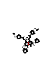 CCOc1ccc(C(C)CC(OC(CC(C)c2ccc(OCC)cc2)c2ccc(C)c(Oc3ccccc3)c2)c2ccc(C)c(Oc3ccccc3)c2)cc1